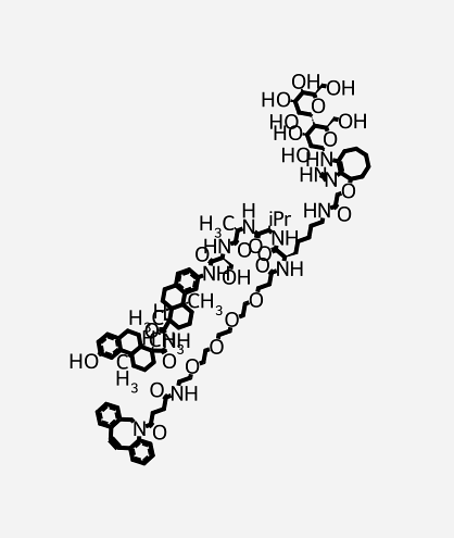 CC(C)[C@H](NC(=O)[C@@H](CCCCCNC(=O)COC1CCCCC/C(N[C@H]2O[C@H](CO)C([C@H]3O[C@H](CO)[C@@H](O)[C@H](O)[C@H]3O)[C@H](O)[C@H]2O)=C\1N=N)NC(=O)CCOCCOCCOCCOCCNC(=O)CCC(=O)N1Cc2ccccc2C#Cc2ccccc21)C(=O)N[C@@H](C)C(=O)N[C@@H](CO)C(=O)Nc1ccc2c(c1)[C@@]1(C)CCC[C@](C)(C(=O)NC(=O)[C@@]3(C)CCC[C@]4(C)c5cc(O)ccc5CC[C@@H]34)[C@@H]1CC2